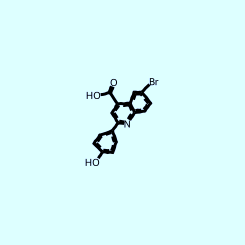 O=C(O)c1cc(-c2ccc(O)cc2)nc2ccc(Br)cc12